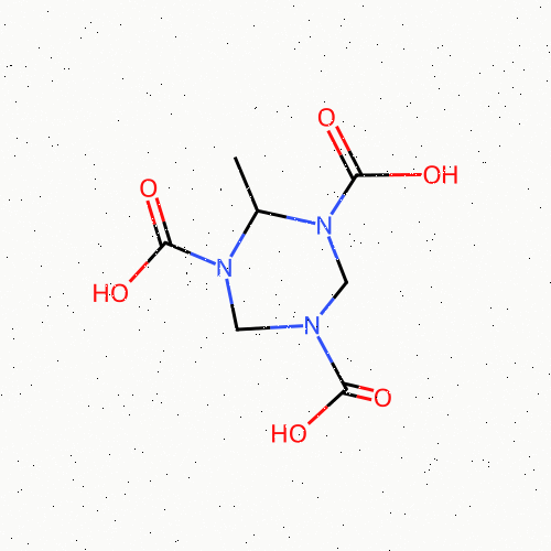 CC1N(C(=O)O)CN(C(=O)O)CN1C(=O)O